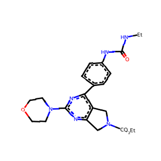 CCNC(=O)Nc1ccc(-c2nc(N3CCOCC3)nc3c2CN(C(=O)OCC)C3)cc1